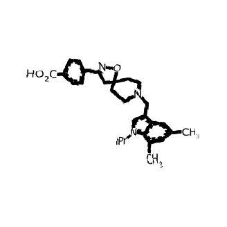 Cc1cc(C)c2c(c1)c(CN1CCC3(CC1)CC(c1ccc(C(=O)O)cc1)=NO3)cn2C(C)C